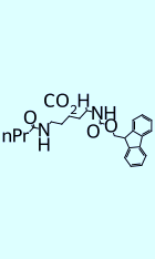 CCCC(=O)NCCCC[C@H](NC(=O)OCC1c2ccccc2-c2ccccc21)C(=O)O